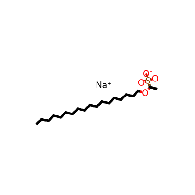 CCCCCCCCCCCCCCCCCCOC(C)S(=O)(=O)[O-].[Na+]